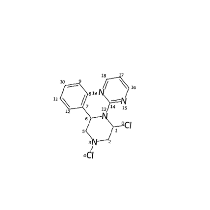 ClC1CN(Cl)CC(c2ccccc2)N1c1ncccn1